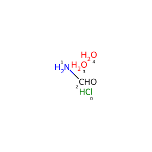 Cl.NC=O.O.O